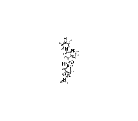 C[C@H]1CN(c2ccc(C(=O)Nc3ccc4nc(N(C)C)oc4c3)c3nccnc23)C[C@H](C)N1